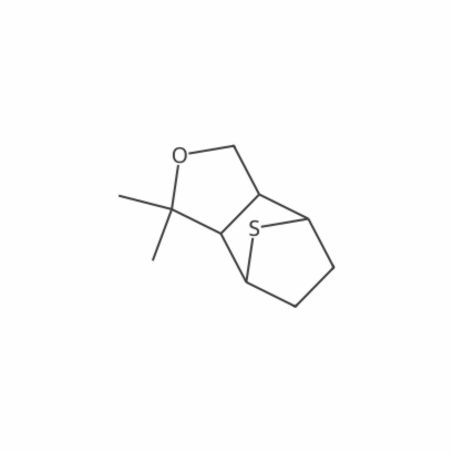 CC1(C)OCC2C3CCC(S3)C21